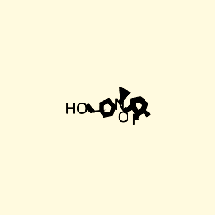 Cc1cccc(C(=O)N(C2CC2)[C@H]2CC[C@H](CCO)CC2)c1F